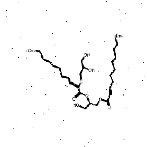 CCCCCCCCCCCCCCCCCC=CC(=O)OCC(CO)OC(=O)C(=CCCCCCCCCCCCCCCCCC)OCC(O)CO